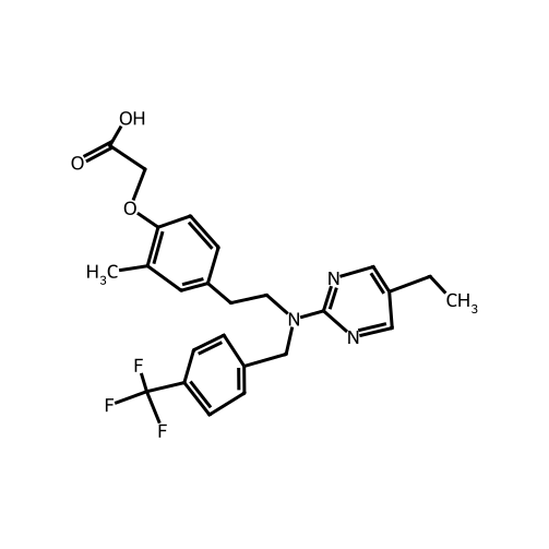 CCc1cnc(N(CCc2ccc(OCC(=O)O)c(C)c2)Cc2ccc(C(F)(F)F)cc2)nc1